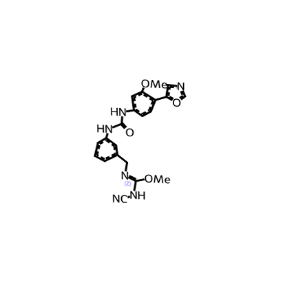 CO/C(=N\Cc1cccc(NC(=O)Nc2ccc(-c3cnco3)c(OC)c2)c1)NC#N